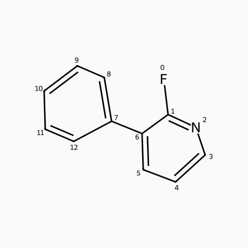 Fc1ncccc1-c1ccccc1